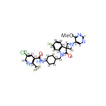 COc1ncncc1N1CC2(C1)C(=O)N(CC1CCC(NC(=O)c3cc(Cl)cnc3C(F)F)CC1)c1cc(F)ccc12